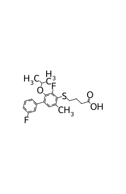 Cc1cc(-c2cccc(F)c2)c(OC(C)C)c(F)c1SCCCC(=O)O